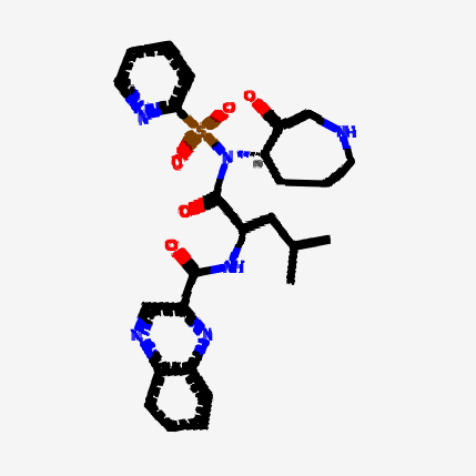 CC(C)CC(NC(=O)c1cnc2ccccc2n1)C(=O)N([C@H]1CCCNCC1=O)S(=O)(=O)c1ccccn1